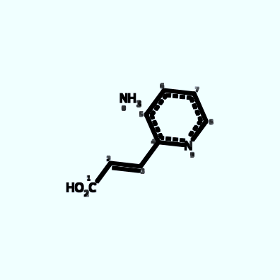 N.O=C(O)C=Cc1ccccn1